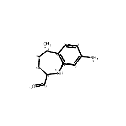 C.Nc1ccc2c(c1)NC(C=O)CCC2